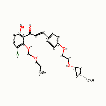 COCCOCOc1c(Cl)ccc(O)c1C(=O)/C=C/c1ccc(OCCO[C@H]2C[C@@H](C(=O)O)C2)cc1